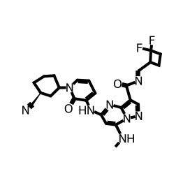 CNc1cc(Nc2cccn(C3CCC[C@H](C#N)C3)c2=O)nc2c(C(=O)/N=C/C3CCC3(F)F)cnn12